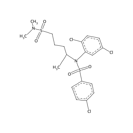 CC(CCCS(=O)(=O)N(C)C)N(c1cc(Cl)ccc1Cl)S(=O)(=O)c1ccc(Cl)cc1